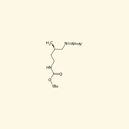 C[C@H](CCNC(=O)OC(C)(C)C)CN=[N+]=[N-]